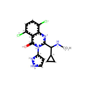 O=C(O)NC(c1nc2c(Cl)ccc(Cl)c2c(=O)n1-c1cc[nH]n1)C1CC1